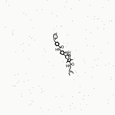 CCN(CC)CCNC(=O)c1c(C)[nH]c(C=C2C(=O)Nc3cc(NC(=O)c4ccc(CN5CCN(C)CC5)cc4)ccc32)c1C